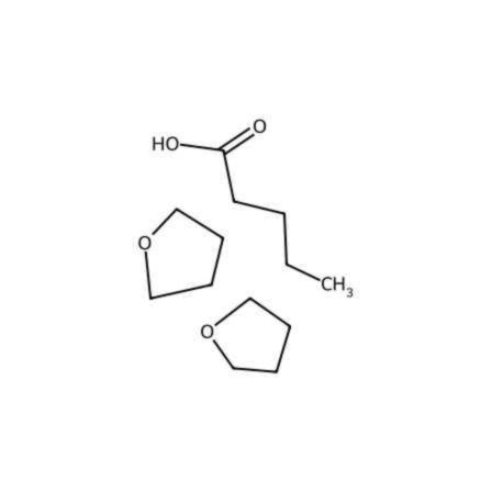 C1CCOC1.C1CCOC1.CCCCC(=O)O